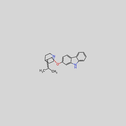 CC(C)=C1C2CCN(CC2)C1Oc1ccc2c(c1)[nH]c1ccccc12